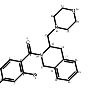 O=C(c1ccc(Cl)cc1Br)N1Cc2ccccc2CC1CN1CCOCC1